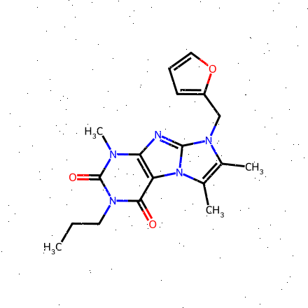 CCCn1c(=O)c2c(nc3n(Cc4ccco4)c(C)c(C)n23)n(C)c1=O